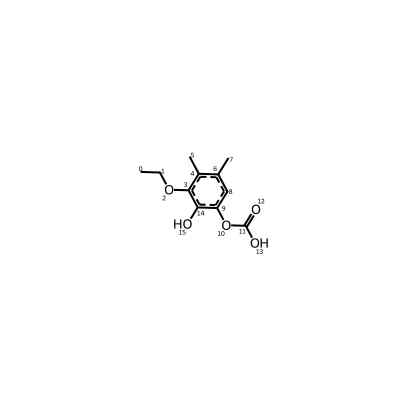 CCOc1c(C)c(C)cc(OC(=O)O)c1O